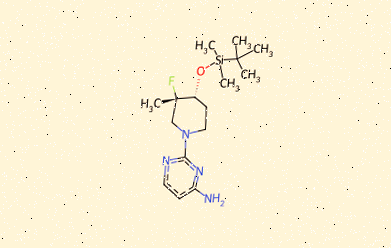 CC(C)(C)[Si](C)(C)O[C@@H]1CCN(c2nccc(N)n2)C[C@]1(C)F